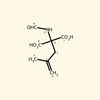 C=C(C)CC(NC=O)(C(=O)O)C(=O)O